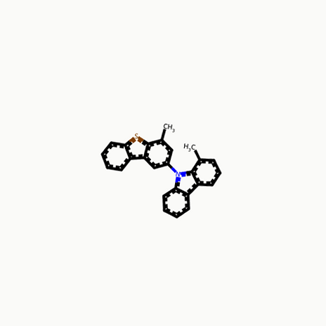 Cc1cc(-n2c3ccccc3c3cccc(C)c32)cc2c1sc1ccccc12